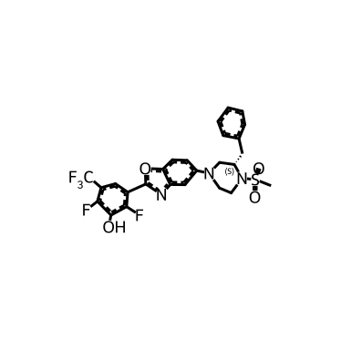 CS(=O)(=O)N1CCN(c2ccc3oc(-c4cc(C(F)(F)F)c(F)c(O)c4F)nc3c2)C[C@@H]1Cc1ccccc1